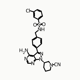 N#CN1CCC[C@@H](n2nc(-c3ccc(CNS(=O)(=O)c4cccc(Cl)c4)cc3)c3c(N)ncnc32)C1